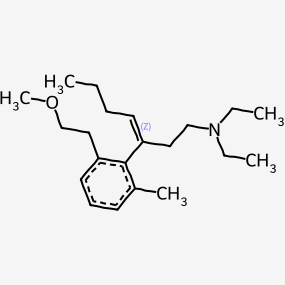 CCC/C=C(/CCN(CC)CC)c1c(C)cccc1CCOC